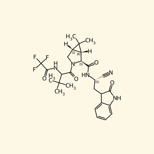 CC(C)(C)C(NC(=O)C(F)(F)F)C(=O)N1C[C@H]2[C@@H]([C@H]1C(=O)N[C@H](C#N)CC1C(=O)Nc3ccccc31)C2(C)C